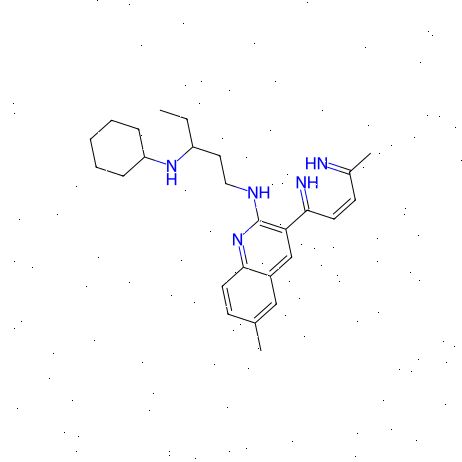 CCC(CCNc1nc2ccc(C)cc2cc1C(=N)/C=C\C(C)=N)NC1CCCCC1